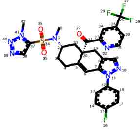 CN([C@H]1CCC2=Cc3c(cnn3-c3ccc(F)cc3)C[C@]2(C(=O)c2cc(C(F)(F)F)ccn2)C1)S(=O)(=O)c1cnnn1C